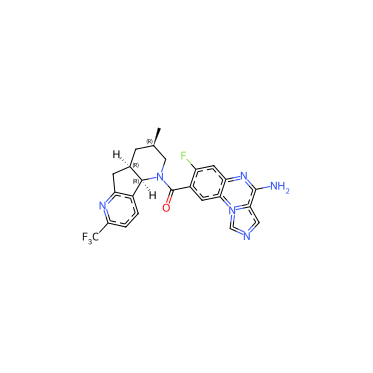 C[C@@H]1C[C@@H]2Cc3nc(C(F)(F)F)ccc3[C@@H]2N(C(=O)c2cc3c(cc2F)nc(N)c2cncn23)C1